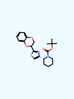 CC(C)(C)OC(=O)N1CCCC[C@@H]1c1csc(C2COc3ccccc3O2)n1